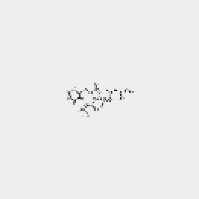 COC(=O)CC(=O)C[C@@H](C(=O)OCc1ccccc1)C1(CC(=O)OC(C)(C)C)CC1